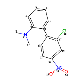 CN(C)c1ccccc1-c1ccc([N+](=O)[O-])cc1Cl